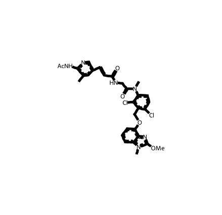 COc1nc2c(OCc3c(Cl)ccc(N(C)C(=O)CNC(=O)/C=C/c4cnc(NC(C)=O)c(C)c4)c3Cl)cccc2n1C